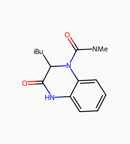 CCC(C)C1C(=O)Nc2ccccc2N1C(=O)NC